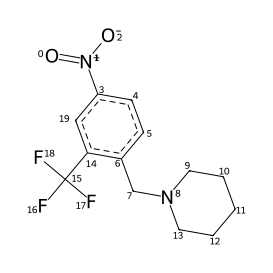 O=[N+]([O-])c1ccc(CN2CCCCC2)c(C(F)(F)F)c1